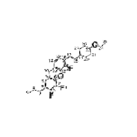 CCCc1cc2c(c(F)c1F)Oc1c(ccc(CCC3CCC(OCC)CC3)c1F)C2